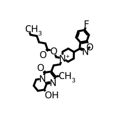 CCCCCC(=O)OC[N+]1(CCc2c(C)nc3n(c2=O)CCCC3O)CCC(c2noc3cc(F)ccc23)CC1